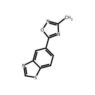 Cc1noc(-c2ccc3scnc3c2)n1